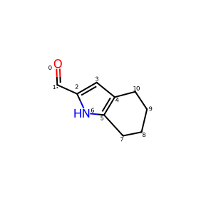 O=[C]c1cc2c([nH]1)CCCC2